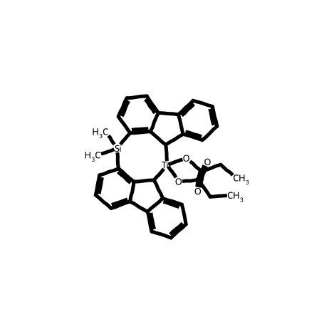 CCC(=O)[O][Ti]1([O]C(=O)CC)[CH]2c3ccccc3-c3cccc(c32)[Si](C)(C)c2cccc3c2[CH]1c1ccccc1-3